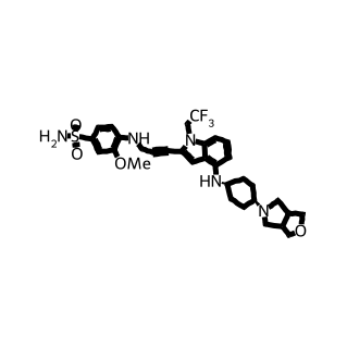 COc1cc(S(N)(=O)=O)ccc1NCC#Cc1cc2c(N[C@H]3CC[C@H](N4CC5COCC5C4)CC3)cccc2n1CC(F)(F)F